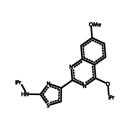 COc1ccc2c(OC(C)C)nc(-c3csc(NC(C)C)n3)nc2c1